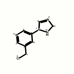 ClCc1cncc(N2C=NCN2)c1